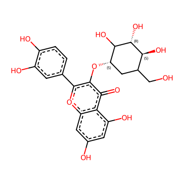 O=c1c(O[C@H]2CC(CO)[C@H](O)[C@@H](O)C2O)c(-c2ccc(O)c(O)c2)oc2cc(O)cc(O)c12